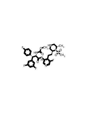 COC(=O)N[C@H](C(=O)Nc1cncc(F)c1CC[C@H]1CNC[C@H](C)N1S(C)(=O)=O)[C@@H](c1ccc(F)cc1)c1cc(F)cc(F)c1